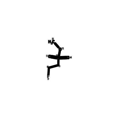 COS(=O)(=O)CCF